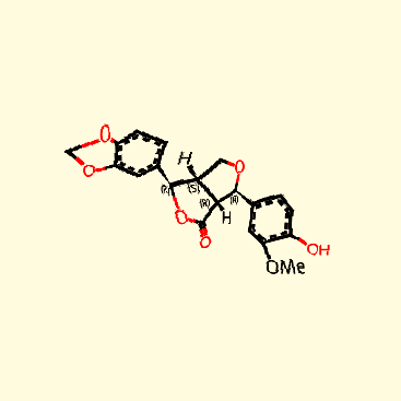 COc1cc([C@@H]2OC[C@@H]3[C@H]2C(=O)O[C@H]3c2ccc3c(c2)OCO3)ccc1O